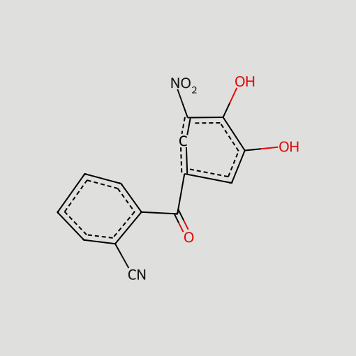 N#Cc1ccccc1C(=O)c1cc(O)c(O)c([N+](=O)[O-])c1